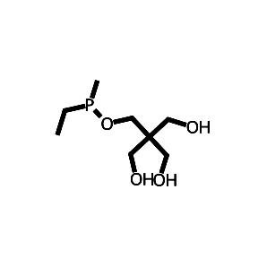 CCP(C)OCC(CO)(CO)CO